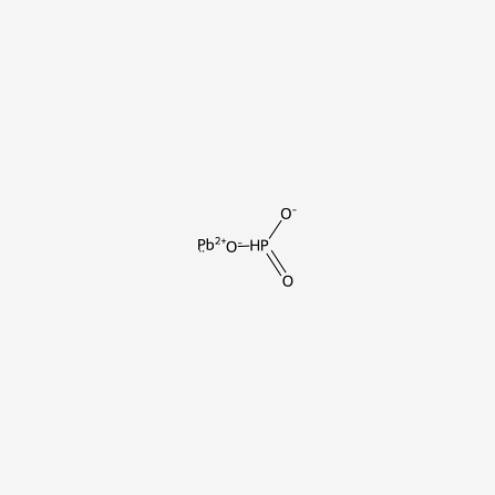 O=[PH]([O-])[O-].[Pb+2]